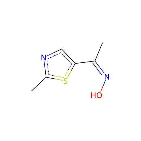 C/C(=N/O)c1cnc(C)s1